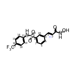 O=C(/C=C/c1cccc(S(=O)(=O)Nc2ccc(C(F)(F)F)cc2)c1)NO